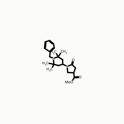 COC(=O)C1CC(=O)N(C2CC(C)(C)N(Cc3ccccc3)C(C)(C)C2)C1